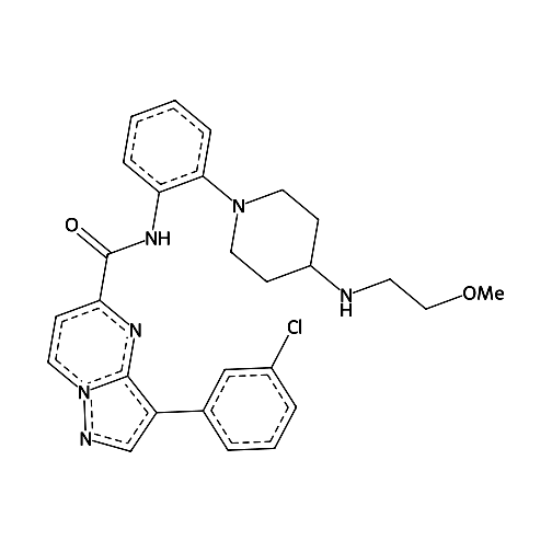 COCCNC1CCN(c2ccccc2NC(=O)c2ccn3ncc(-c4cccc(Cl)c4)c3n2)CC1